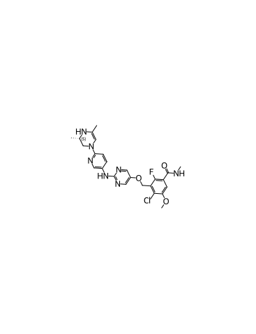 CNC(=O)c1cc(OC)c(Cl)c(COc2cnc(Nc3ccc(N4C=C(C)N[C@@H](C)C4)nc3)nc2)c1F